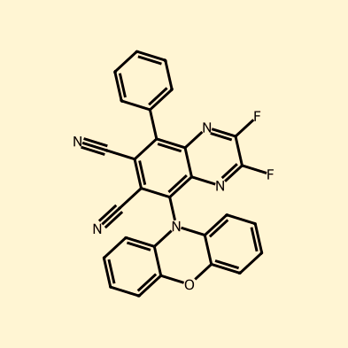 N#Cc1c(C#N)c(N2c3ccccc3Oc3ccccc32)c2nc(F)c(F)nc2c1-c1ccccc1